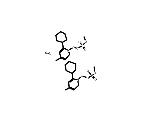 COP(=O)([O-])OON1CC=C(C)C=C1C1CCCCC1.COP(=O)([O-])OON1CC=C(C)C=C1C1CCCCC1.[Na+].[Na+]